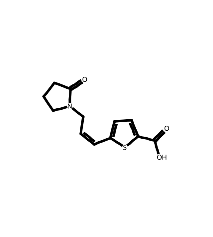 O=C(O)c1ccc(/C=C\CN2CCCC2=O)s1